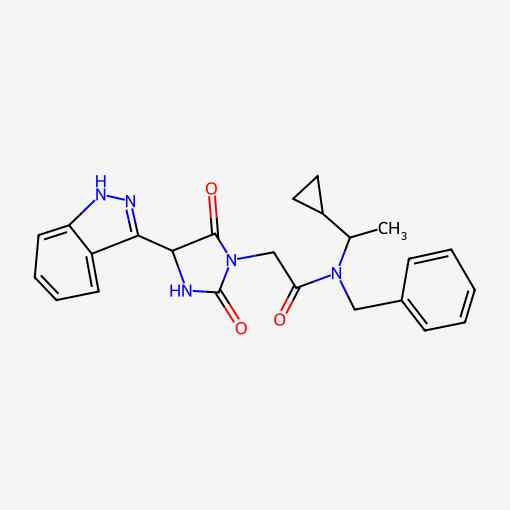 CC(C1CC1)N(Cc1ccccc1)C(=O)CN1C(=O)NC(c2n[nH]c3ccccc23)C1=O